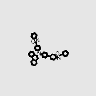 C1=CC2c3ccccc3C(N(c3ccc(-c4nc5ccccc5o4)cc3)c3ccc(C4C=Cc5nc(-c6ccccc6)oc5C4)cc3)=CC2CC1